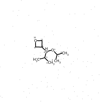 CC(C)O[SiH](C(C)C)C1COC1